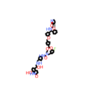 O=C(NC(c1ccccc1)c1cccc(OCc2ccc(C(=O)OCCN(Cc3ccc(F)cc3)C(=O)Nc3ccc(CNC[C@@H](O)c4ccc(O)c5[nH]c(=O)ccc45)cc3)cc2)c1)O[C@H]1CN2CCC1CC2